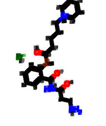 NCCC(=O)NC(=O)c1ccccc1SC(=O)CCCC[n+]1ccccc1.[Br-]